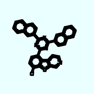 Clc1ccc(-c2nc(-c3ccc4ccccc4c3)nc(-c3ccc4ccccc4c3)n2)c2c1oc1cnccc12